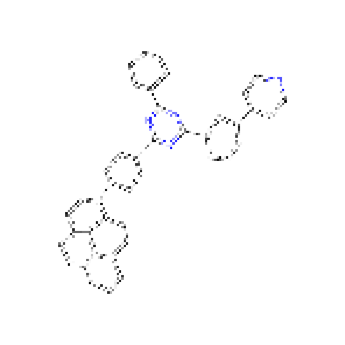 c1ccc(-c2nc(-c3ccc(-c4ccc5ccc6cccc7ccc4c5c67)cc3)nc(-c3cccc(-c4ccncc4)c3)n2)cc1